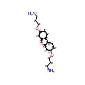 NCCCOc1ccc2c(c1)oc1cc(OCCCN)ccc12